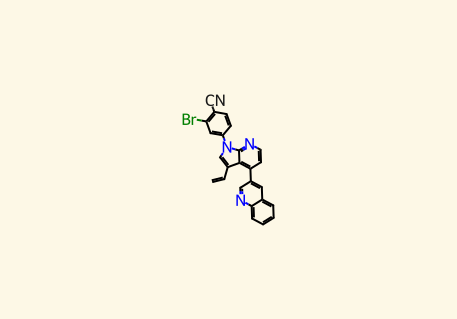 C=Cc1cn(-c2ccc(C#N)c(Br)c2)c2nccc(-c3cnc4ccccc4c3)c12